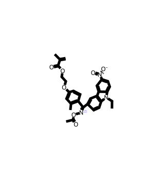 C=C(C)C(=O)OCCOc1ccc(/C(=N\OC(C)=O)c2ccc3c(c2)c2cc([N+](=O)[O-])ccc2n3CC)c(C)c1